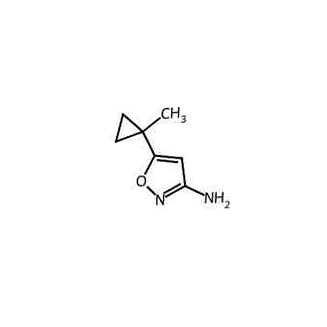 CC1(c2cc(N)no2)CC1